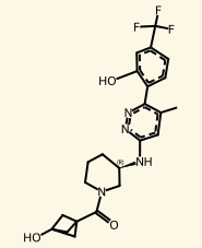 Cc1cc(N[C@@H]2CCCN(C(=O)C34CC(O)(C3)C4)C2)nnc1-c1ccc(C(F)(F)F)cc1O